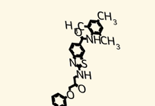 Cc1cc(C)c(NC(=O)c2ccc3nc(NCC(=O)COc4ccccc4)sc3c2)c(C)c1